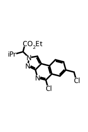 CCOC(=O)C(C(C)C)n1cc2c(nc(Cl)c3cc(CCl)ccc32)n1